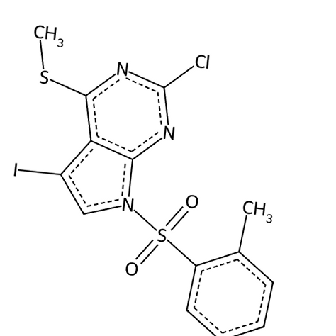 CSc1nc(Cl)nc2c1c(I)cn2S(=O)(=O)c1ccccc1C